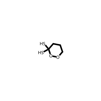 SC1(S)CCCOO1